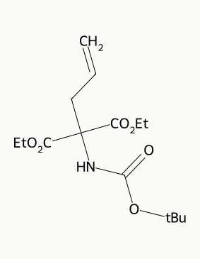 C=CCC(NC(=O)OC(C)(C)C)(C(=O)OCC)C(=O)OCC